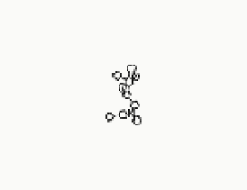 c1ccc(-c2ccc(N(c3ccccc3)c3cccc(-c4ccc5oc6c(-c7ccccc7)c7c(cc6c5c4)oc4ccccc47)c3)cc2)cc1